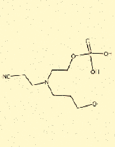 N#CCCN(CCC[O])CCOP(=O)(O)O